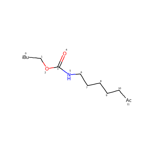 CCC(C)COC(=O)NCCCCCC(C)=O